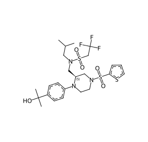 CC(C)CN(C[C@H]1CN(S(=O)(=O)c2cccs2)CCN1c1ccc(C(C)(C)O)cc1)S(=O)(=O)CC(F)(F)F